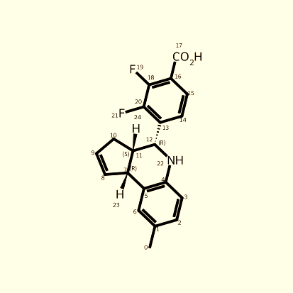 Cc1ccc2c(c1)[C@@H]1C=CC[C@@H]1[C@H](c1ccc(C(=O)O)c(F)c1F)N2